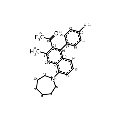 Cc1nc2c(N3CCCCCC3)cccc2c(-c2ccc(F)cc2)c1C(=O)C(F)(F)F